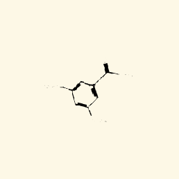 CNc1cc(NC)cc(C(=O)OC)c1